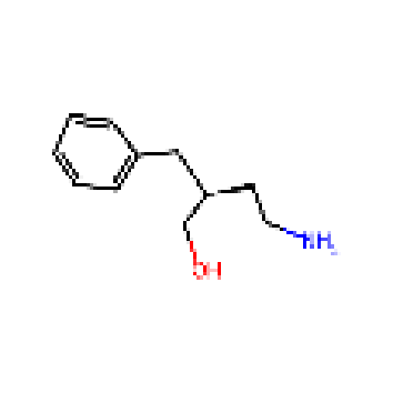 NCC[C@@H](CO)Cc1ccccc1